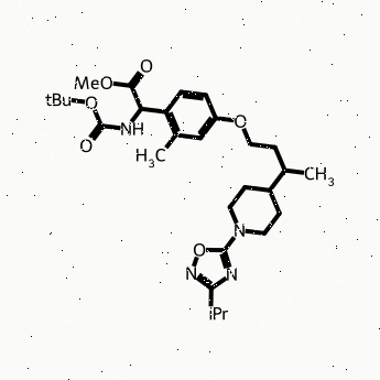 COC(=O)C(NC(=O)OC(C)(C)C)c1ccc(OCCC(C)C2CCN(c3nc(C(C)C)no3)CC2)cc1C